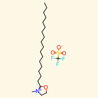 CCCCCCCCCCCCCCCCCC1=[N+](C)CCO1.O=S(=O)([O-])C(F)(F)F